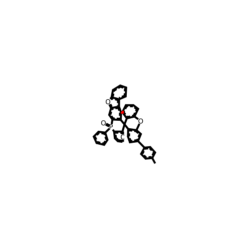 Cc1ccc(-c2ccc3c(c2)Oc2ccccc2C32c3ccccc3P(=O)(c3ccccc3)c3cc4oc5ccccc5c4cc32)cc1